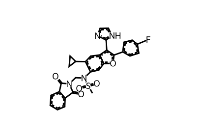 CS(=O)(=O)N(CN1C(=O)c2ccccc2C1=O)c1cc2oc(-c3ccc(F)cc3)c(-c3ncc[nH]3)c2cc1C1CC1